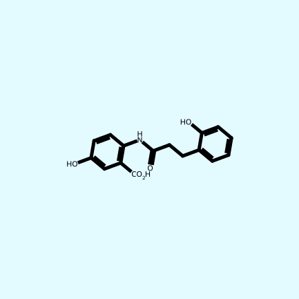 O=C(CCc1ccccc1O)Nc1ccc(O)cc1C(=O)O